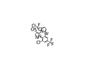 [O-][S+](c1cnn(-c2c(Cl)cc(C(F)(F)F)cc2Br)c1-n1cccc1)C(F)(Cl)Cl